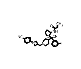 C=CC(=O)N[C@H]1CCC[C@@H]1[C@](C#N)(c1cccc(F)c1)C1CCN(CC2CN(c3ccc(C#N)cc3)C2)CC1